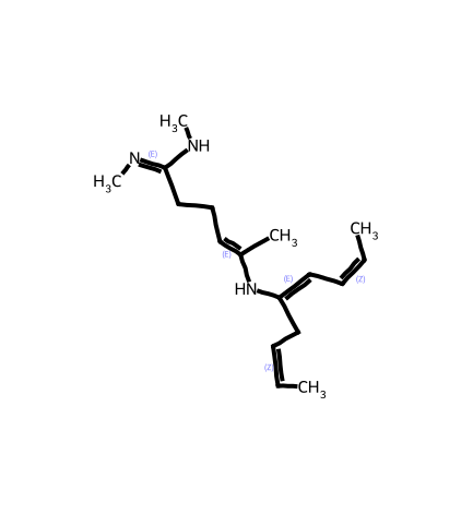 C/C=C\C=C(/C/C=C\C)N/C(C)=C/CC/C(=N\C)NC